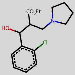 CCOC(=O)C(CN1CCCC1)C(O)c1ccccc1Cl